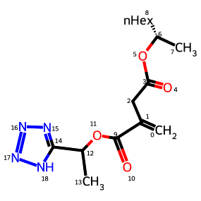 C=C(CC(=O)O[C@@H](C)CCCCCC)C(=O)OC(C)c1nnn[nH]1